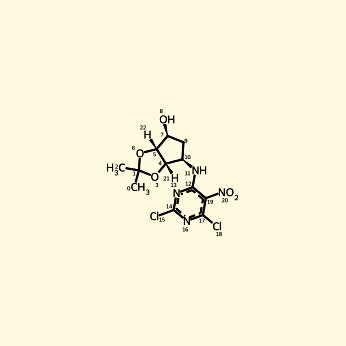 CC1(C)O[C@@H]2[C@H](O1)[C@@H](O)C[C@H]2Nc1nc(Cl)nc(Cl)c1[N+](=O)[O-]